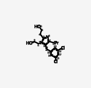 CC(C)c1nc(CCO)n(CCO)c1Sc1cc(Cl)cc(Cl)c1